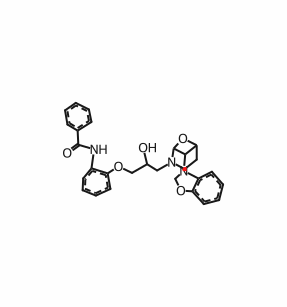 O=C(Nc1ccccc1OCC(O)CN1CCC2OC1C2N1COc2ccccc21)c1ccccc1